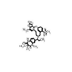 CCC(c1ccc2c(c1)N(C)C(=O)C(C)(C)C(=O)N2)N(CCn1cc(C)c2oc(C)cc2c1=O)Cc1ccccc1NS(C)(=O)=O